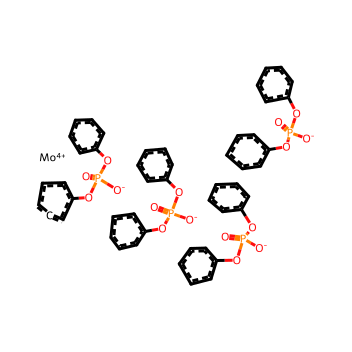 O=P([O-])(Oc1ccccc1)Oc1ccccc1.O=P([O-])(Oc1ccccc1)Oc1ccccc1.O=P([O-])(Oc1ccccc1)Oc1ccccc1.O=P([O-])(Oc1ccccc1)Oc1ccccc1.[Mo+4]